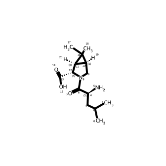 CC(C)C[C@H](N)C(=O)N1C[C@H]2[C@@H]([C@H]1C(=O)O)C2(C)C